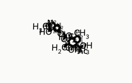 C=C[C@]1(C)C[C@@H](OC(=O)COc2ccc3c(c2)B(O)N(C)N=C3)[C@@]2(C)C[C@](C[C@H](O)C(C)=O)(CC[C@H]2C)[C@@H](C)[C@@H]1O